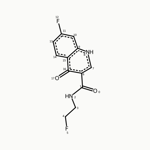 O=C(NCCF)c1c[nH]c2cc(F)ccc2c1=O